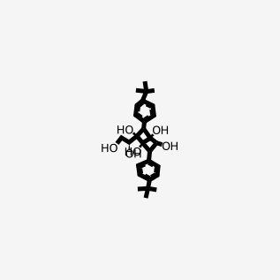 CC(C)(C)c1ccc(C2C(O)[C@@]3(O)C(c4ccc(C(C)(C)C)cc4)[C@@](O)([C@H](O)CO)[C@@]23O)cc1